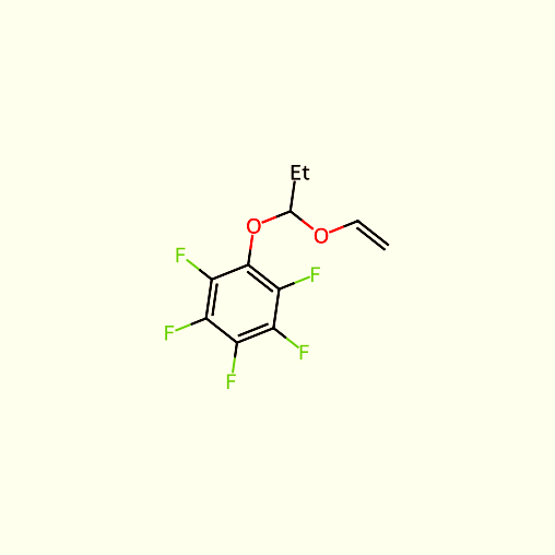 C=COC(CC)Oc1c(F)c(F)c(F)c(F)c1F